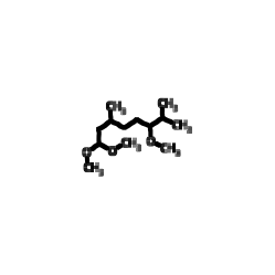 COC(CC(C)CCC(OC)C(C)C)OC